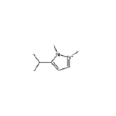 CC(C)c1cc[n+](C)n1C